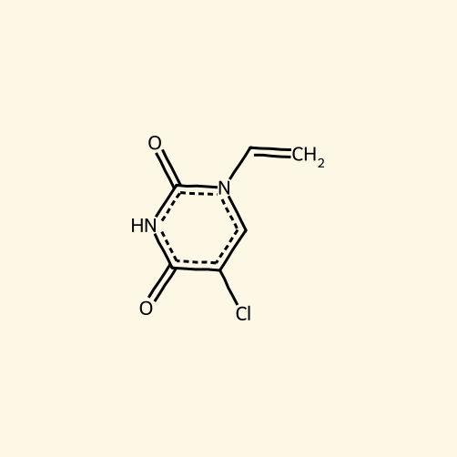 C=Cn1cc(Cl)c(=O)[nH]c1=O